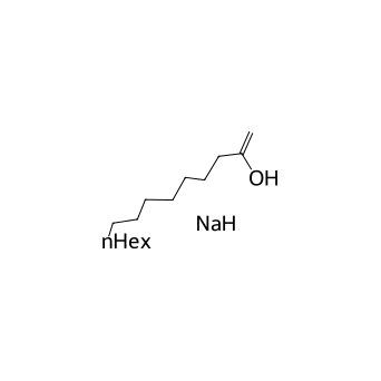 C=C(O)CCCCCCCCCCCCC.[NaH]